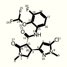 CN1C[C@H](c2cc(Cl)n(C)n2)[C@@H](C(=O)Nc2cccc(F)c2OC(F)F)C1=O